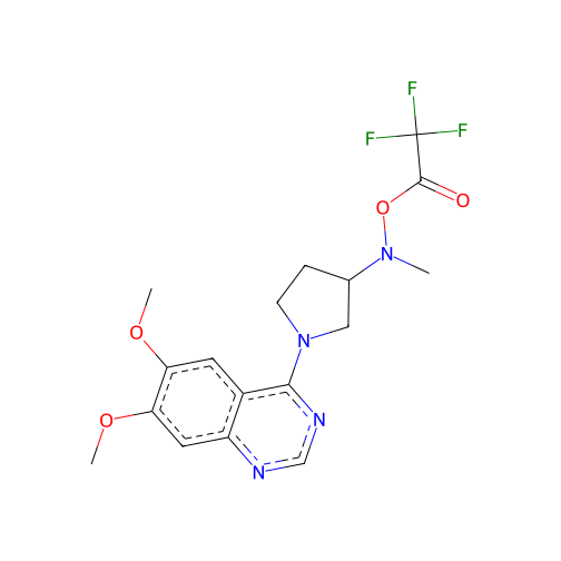 COc1cc2ncnc(N3CCC(N(C)OC(=O)C(F)(F)F)C3)c2cc1OC